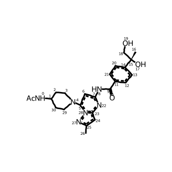 CC(=O)NC1CCN(c2cc(NC(=O)c3ccc([C@@](C)(O)CO)cc3)nc3cc(C)nn23)CC1